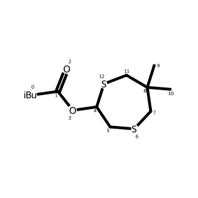 CCC(C)C(=O)OC1CSCC(C)(C)CS1